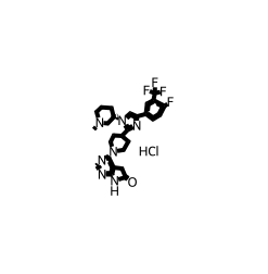 CN1CCC[C@@H](n2cc(-c3ccc(F)c(C(F)(F)F)c3)nc2C2CCN(c3ncnc4c3CC(=O)N4)CC2)C1.Cl